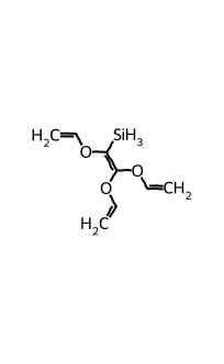 C=COC([SiH3])=C(OC=C)OC=C